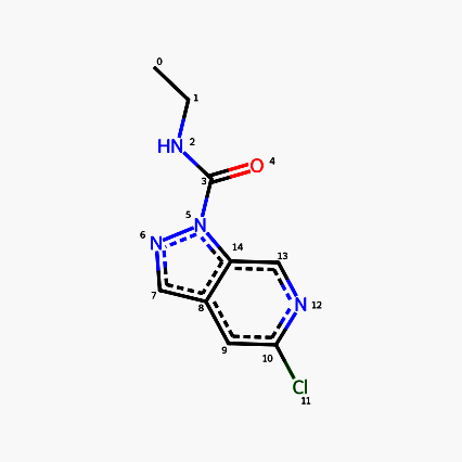 CCNC(=O)n1ncc2cc(Cl)ncc21